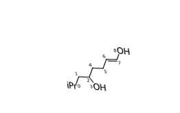 CC(C)CC(O)CCC=CO